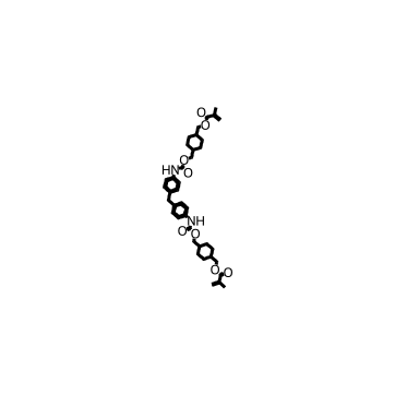 C=C(C)C(=O)OCC1CCC(COC(=O)Nc2ccc(Cc3ccc(NC(=O)OCC4CCC(COC(=O)C(=C)C)CC4)cc3)cc2)CC1